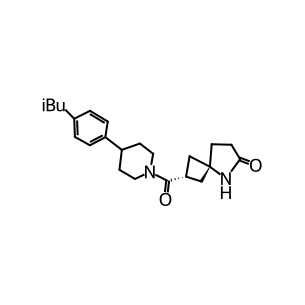 CCC(C)c1ccc(C2CCN(C(=O)[C@H]3C[C@]4(CCC(=O)N4)C3)CC2)cc1